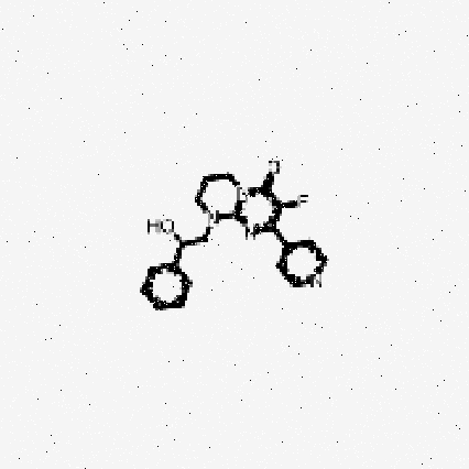 O=c1c(F)c(-c2ccncc2)nc2n1CCCN2C[C@H](O)c1ccccc1